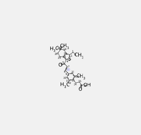 CCc1sc(C(=O)/C=C/c2cc(C)c(CCC(=O)O)c(C)c2)c2c1CC(C)(C)CC2